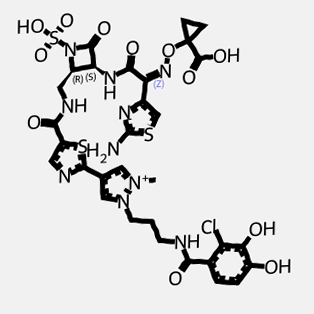 C[n+]1cc(-c2ncc(C(=O)NC[C@@H]3[C@H](NC(=O)/C(=N\OC4(C(=O)O)CC4)c4csc(N)n4)C(=O)N3S(=O)(=O)O)s2)cn1CCCNC(=O)c1ccc(O)c(O)c1Cl